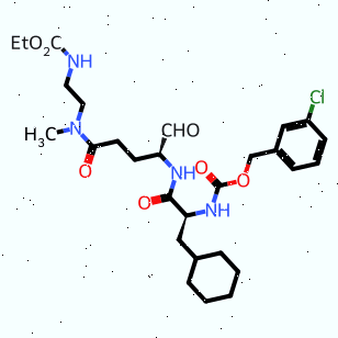 CCOC(=O)NCCN(C)C(=O)CC[C@@H](C=O)NC(=O)[C@H](CC1CCCCC1)NC(=O)OCc1cccc(Cl)c1